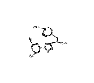 CC(=O)NC(Cc1ccc(C#N)cc1)c1nnc(-c2cc(Br)cc(C(F)(F)F)c2)s1